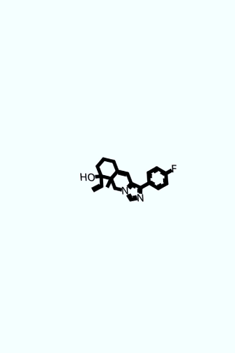 C=CC1(O)CCCC2=Cc3c(-c4ccc(F)cc4)ncn3CC21C